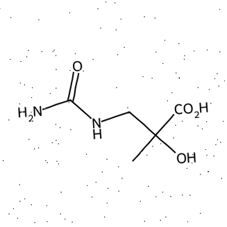 CC(O)(CNC(N)=O)C(=O)O